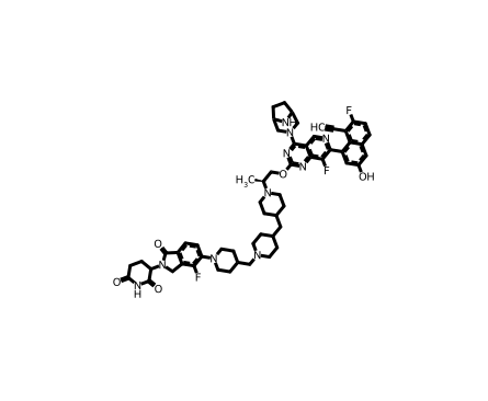 C#Cc1c(F)ccc2cc(O)cc(-c3ncc4c(N5CC6CCC(C5)N6)nc(OC[C@H](C)N5CCC(CC6CCN(CC7CCN(c8ccc9c(c8F)CN(C8CCC(=O)NC8=O)C9=O)CC7)CC6)CC5)nc4c3F)c12